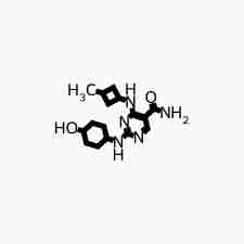 CC1CC(Nc2nc(NC3CCC(O)CC3)ncc2C(N)=O)C1